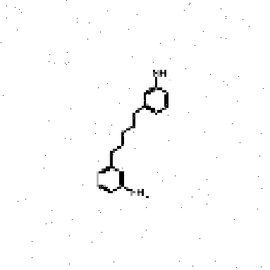 Nc1cccc(CCCCCc2cccc(N)c2)c1